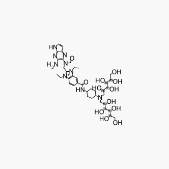 CCn1c(CN(C=O)c2nc3cc[nH]c3nc2N)[n+](CC)c2ccc(C(=O)NC3CCC(N(C[C@H](O)[C@@H](O)[C@H](O)[C@H](O)CO)C[C@H](O)[C@@H](O)[C@H](O)[C@H](O)CO)CC3)cc21